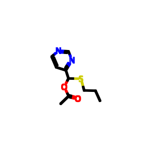 CCCSC(OC(C)=O)c1ccncn1